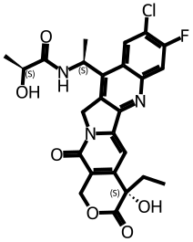 CC[C@@]1(O)C(=O)OCc2c1cc1n(c2=O)Cc2c-1nc1cc(F)c(Cl)cc1c2[C@H](C)NC(=O)[C@H](C)O